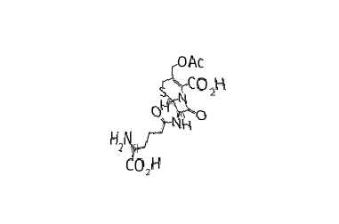 CC(=O)OCC1=C(C(=O)O)N2C(=O)[C@@H](NC(=O)CCC[C@H](N)C(=O)O)[C@H]2SC1